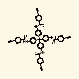 C#Cc1ccc(C(=O)Nc2ccc(C(c3ccc(NC(=O)c4ccc(C#C)cc4)cc3)(c3ccc(NC(=O)c4ccc(C#C)cc4)cc3)c3ccc(NC(=O)c4ccc(C#C)cc4)cc3)cc2)cc1